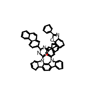 c1ccc(-c2nc(-c3ccc4c(ccc5ccccc54)c3)nc(-n3c4ccccc4c4ccc5c6ccccc6n(-c6cccc(-c7cccc8nc(-c9ccccc9)oc78)c6)c5c43)n2)cc1